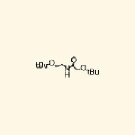 CC(C)(C)OCCNC(=O)COC(C)(C)C